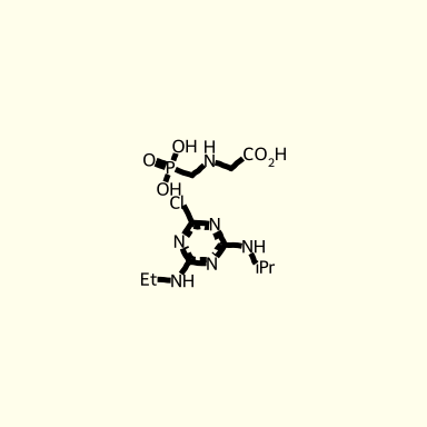 CCNc1nc(Cl)nc(NC(C)C)n1.O=C(O)CNCP(=O)(O)O